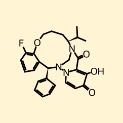 CC(C)[C@@H]1CCCOc2c(F)cccc2[C@H](c2ccccc2)N2CN1C(=O)c1c(O)c(=O)ccn12